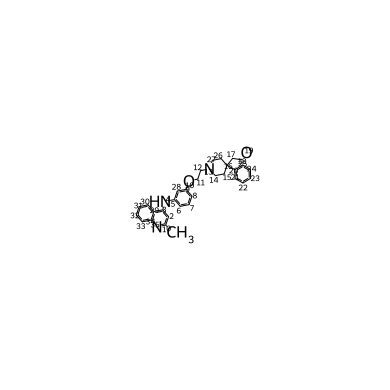 Cc1cc(Nc2cccc(OCCN3CCC(CC=O)(c4ccccc4)CC3)c2)c2ccccc2n1